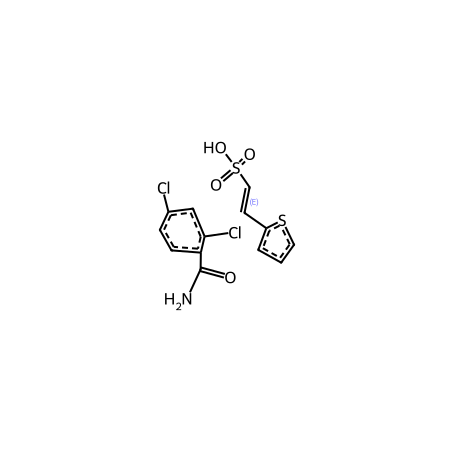 NC(=O)c1ccc(Cl)cc1Cl.O=S(=O)(O)/C=C/c1cccs1